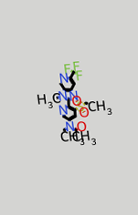 CCN(C(C)=O)c1cnc(-c2nc3cc(C(F)(F)F)ncc3n2C)c(S(=O)(=O)CC)c1